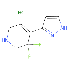 Cl.FC1(F)CNCC=C1c1cc[nH]n1